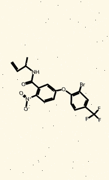 C=CC(C)NC(=O)c1cc(Oc2ccc(C(F)(F)F)cc2Br)ccc1[N+](=O)[O-]